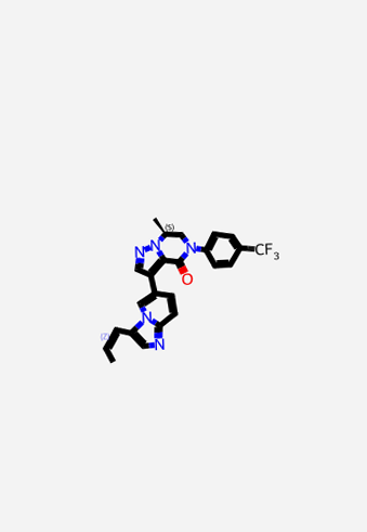 C/C=C\c1cnc2ccc(-c3cnn4c3C(=O)N(c3ccc(C(F)(F)F)cc3)C[C@@H]4C)cn12